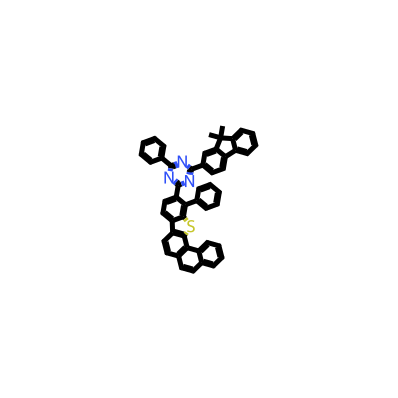 CC1(C)c2ccccc2-c2ccc(-c3nc(-c4ccccc4)nc(-c4ccc5c(sc6c5ccc5ccc7ccccc7c56)c4-c4ccccc4)n3)cc21